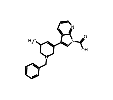 CC1C=C(c2cn(C(=O)O)c3ncccc23)CN(Cc2ccccc2)C1